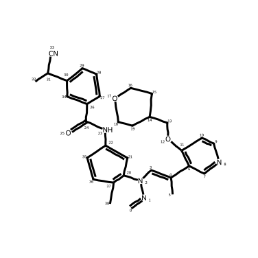 C=NN(/C=C(\C)c1cnccc1OCC1CCOCC1)c1cc(NC(=O)c2cccc(C(C)C#N)c2)ccc1C